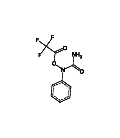 NC(=O)N(OC(=O)C(F)(F)F)c1ccccc1